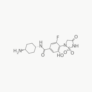 N[C@H]1CC[C@H](NC(=O)c2cc(O)c(N3CC(=O)NS3(=O)=O)c(F)c2)CC1